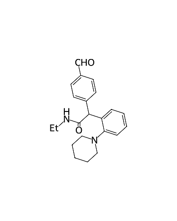 CCNC(=O)C(c1ccc(C=O)cc1)c1ccccc1N1CCCCC1